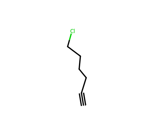 [C]#CCCCCCl